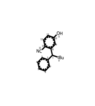 CC(C)(C)C(c1ccccc1)c1cc(O)ccc1C#N